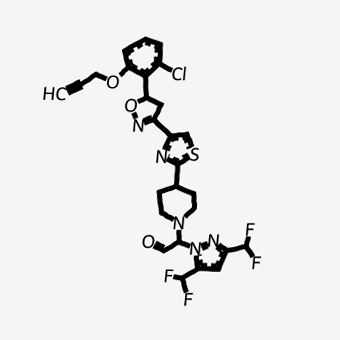 C#CCOc1cccc(Cl)c1C1CC(c2csc(C3CCN(C(C=O)n4nc(C(F)F)cc4C(F)F)CC3)n2)=NO1